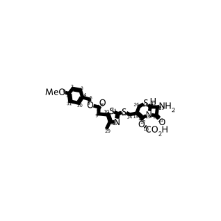 COc1ccc(COC(=O)Cc2sc(SCC3=C(OC(=O)O)N4C(=O)C(N)[C@@H]4SC3)nc2C)cc1